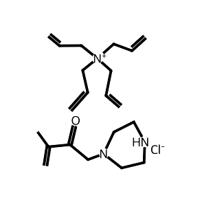 C=C(C)C(=O)CN1CCNCC1.C=CC[N+](CC=C)(CC=C)CC=C.[Cl-]